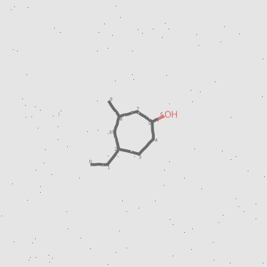 CCC1CCC(O)CC(C)C1